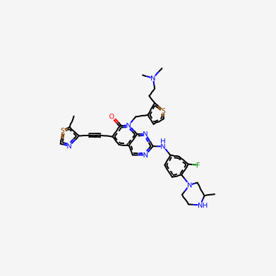 Cc1scnc1C#Cc1cc2cnc(Nc3ccc(N4CCNC(C)C4)c(F)c3)nc2n(Cc2ccsc2CCN(C)C)c1=O